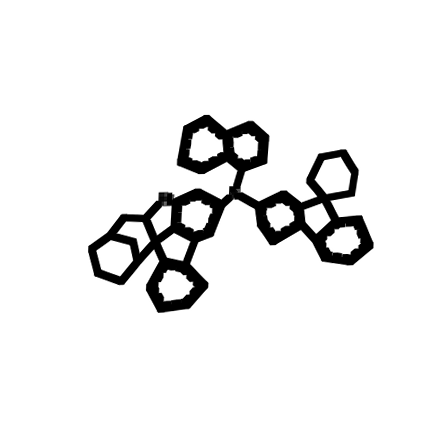 CCC1CC2CCCC(C2)C12c1ccccc1-c1cc(N(c3ccc4c(c3)C3(CCCCC3)c3ccccc3-4)c3cccc4ccccc34)ccc12